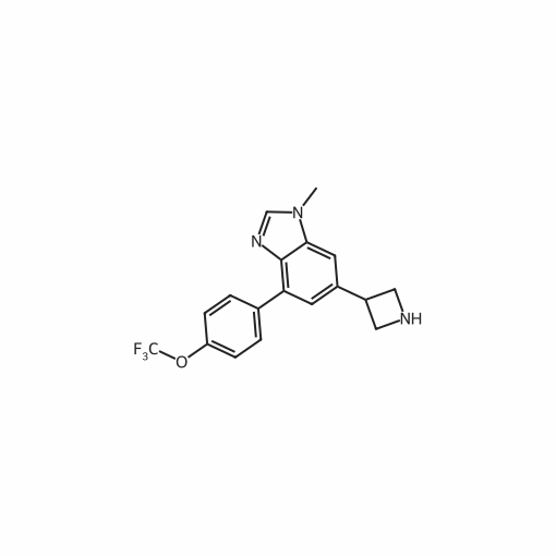 Cn1cnc2c(-c3ccc(OC(F)(F)F)cc3)cc(C3CNC3)cc21